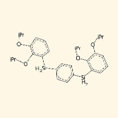 CC(C)Oc1cccc([SiH2]c2ccc([SiH2]c3cccc(OC(C)C)c3OC(C)C)cc2)c1OC(C)C